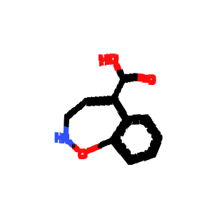 O=C(O)C1=CCNOc2ccccc21